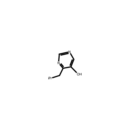 CC(C)Cc1n[c]ncc1O